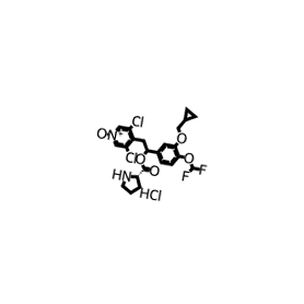 Cl.O=C(OC(Cc1c(Cl)c[n+]([O-])cc1Cl)c1ccc(OC(F)F)c(OCC2CC2)c1)[C@@H]1CCCN1